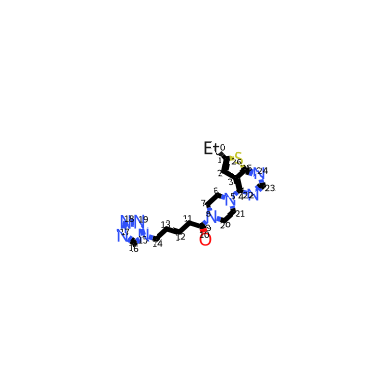 CCc1cc2c(N3CCN(C(=O)CCCCn4cnnn4)CC3)ncnc2s1